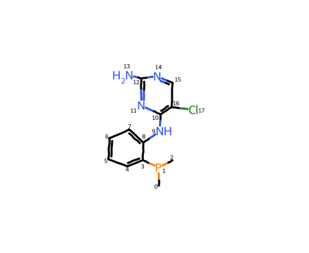 CP(C)c1ccccc1Nc1nc(N)ncc1Cl